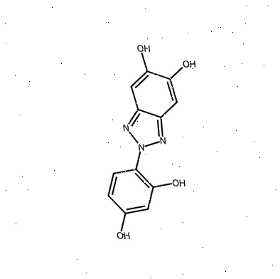 Oc1ccc(-n2nc3cc(O)c(O)cc3n2)c(O)c1